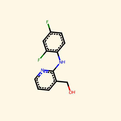 OCc1cccnc1Nc1ccc(F)cc1F